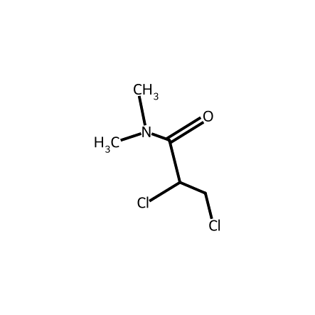 CN(C)C(=O)C(Cl)CCl